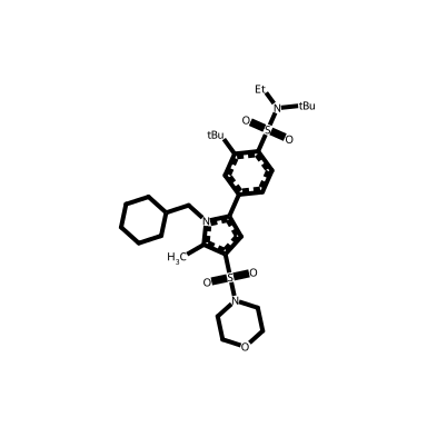 CCN(C(C)(C)C)S(=O)(=O)c1ccc(-c2cc(S(=O)(=O)N3CCOCC3)c(C)n2CC2CCCCC2)cc1C(C)(C)C